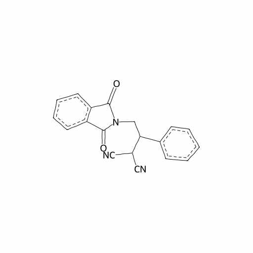 N#CC(C#N)C(CN1C(=O)c2ccccc2C1=O)c1ccccc1